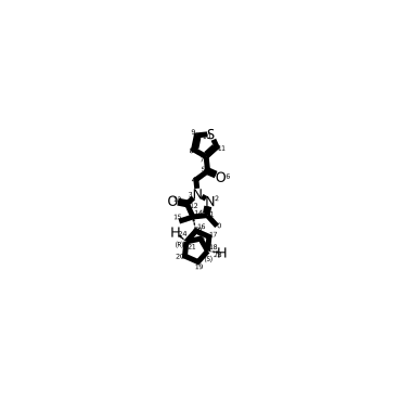 CC1=NN(CC(=O)c2ccsc2)C(=O)C1(C)[C@@H]1C[C@H]2CC[C@@H]1C2